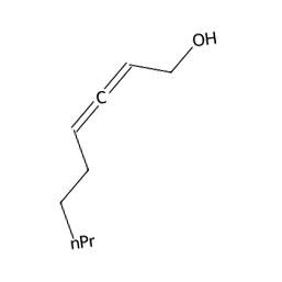 CCCCCC=C=CCO